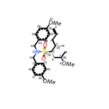 C=CC[C@H](C)[C@H](C[C@@H](C)OC)S(=O)(=O)N(Cc1ccc(OC)cc1)Cc1ccc(OC)cc1